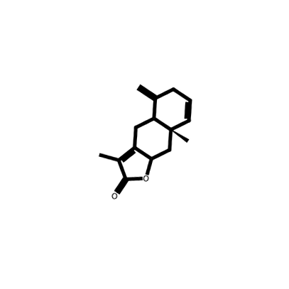 C=C1CC=C[C@]2(C)CC3OC(=O)C(C)=C3CC12